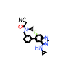 N#CCC(=O)N(Cc1cccc(-c2cc3c(NC4CC4)ncnc3cc2F)c1)C1CC1